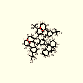 CC(C)(C)c1ccc2c(c1)B1c3ccccc3N(c3ccc(C(C)(C)C)cc3-c3ccccc3)c3cc(N4c5ccccc5C(C)(C)C5(C)CCCCC45C)cc(c31)N2c1ccc(C(C)(C)C)cc1-c1ccccc1